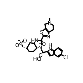 CN1CCc2nc(C(=O)N[C@@H]3C[C@@H](CS(C)(=O)=O)CC[C@@H]3NC(=O)c3cc4cc(Cl)ccc4[nH]3)sc2C1.Cl